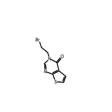 O=c1c2ccsc2ncn1CCBr